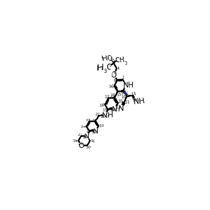 CC(C)(O)COC1=CN/C(=C(/C#N)C=N)C(c2ccc(NCc3ccc(N4CCOCC4)nc3)nc2)=C1